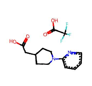 O=C(O)C(F)(F)F.O=C(O)CC1CCN(c2ccccn2)CC1